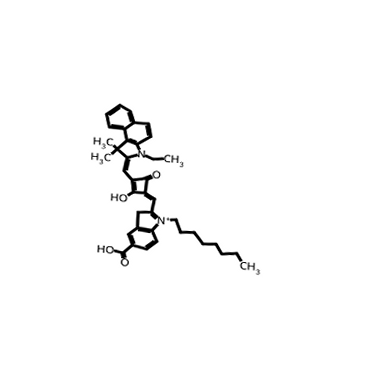 CCCCCCCC[N+]1=C(C=C2C(=O)C(C=C3N(CC)c4ccc5ccccc5c4C3(C)C)=C2O)Cc2cc(C(=O)O)ccc21